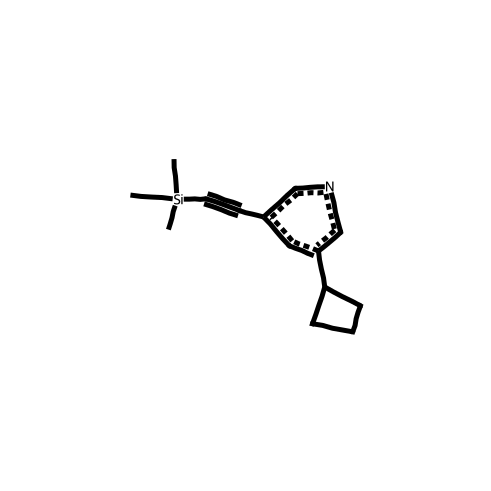 C[Si](C)(C)C#Cc1cncc(C2CCC2)c1